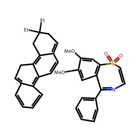 CCC1(CC)CC=c2ccc3c(c2C1)CC=c1ccccc1=3.COc1cc2c(cc1OC)S(=O)(=O)C=CN=C2c1ccccc1